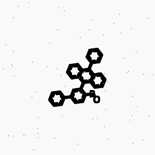 O=Pc1ccc(-c2ccccc2)cc1-c1c2ccccc2c(-c2ccccc2)c2ccccc12